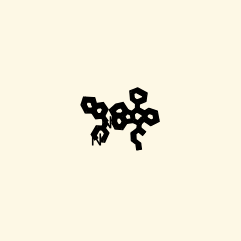 C=C/C=C\C(=C)C1=c2ccccc2=C(C2=CC=CCC2)C2c3cccc4c(N(c5ccc6ccccc6c5)C5C=CN=CC5)ccc(c34)C12